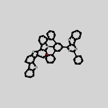 c1ccc(-c2nc(-c3cc(-c4ccccc4)c(-n4c5ccccc5c5c6oc7ccc8c9ccccc9oc8c7c6ccc54)c(-c4ccccc4)c3)c3sc4ccccc4c3n2)cc1